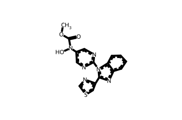 COC(=O)N(O)c1cnc(-n2c(-c3cscn3)nc3ccccc32)nc1